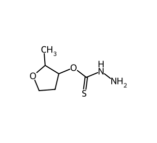 CC1OCCC1OC(=S)NN